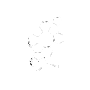 N#CC(C#N)C1C2=C(C=CC1(c1cccs1)C(C#N)C#N)c1cccc(-c3cccs3)c1-c1ccccc1-c1ccccc12